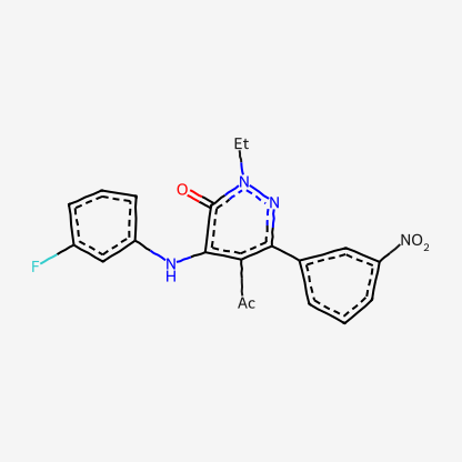 CCn1nc(-c2cccc([N+](=O)[O-])c2)c(C(C)=O)c(Nc2cccc(F)c2)c1=O